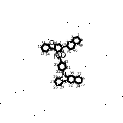 c1ccc2cc(-c3cc4oc5ccccc5c4c4nc(-c5ccc(-n6c7ccccc7c7cc8ccccc8cc76)cc5)oc34)ccc2c1